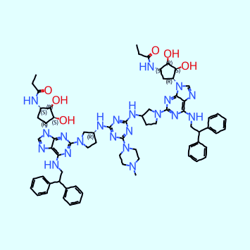 CCC(=O)N[C@H]1C[C@@H](n2cnc3c(NCC(c4ccccc4)c4ccccc4)nc(N4CCC(Nc5nc(N[C@@H]6CCN(c7nc(NCC(c8ccccc8)c8ccccc8)c8ncn([C@@H]9C[C@H](NC(=O)CC)[C@@H](O)[C@H]9O)c8n7)C6)nc(N6CCN(C)CC6)n5)C4)nc32)[C@H](O)[C@@H]1O